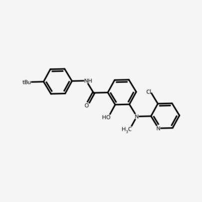 CN(c1cccc(C(=O)Nc2ccc(C(C)(C)C)cc2)c1O)c1ncccc1Cl